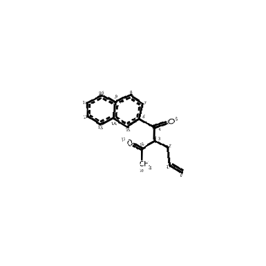 C=CCC(C(=O)c1ccc2ccccc2c1)C(=O)C(F)(F)F